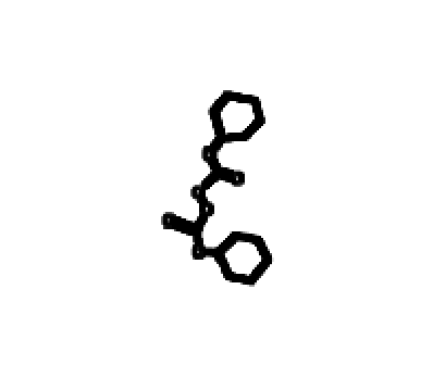 O=C(OOC(=O)OC1CCCCC1)OC1CCCCC1